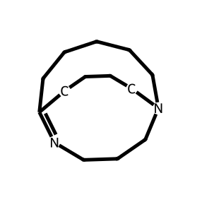 C1CCC2=NCCCN(CC1)CCCC2